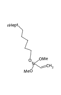 C=C[Si](OC)(OC)OCCCCCCCCCCCC